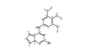 COc1cc(Nc2nc(Br)cn3ncnc23)cc(OC)c1OC